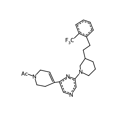 CC(=O)N1CC=C(c2cncc(N3CCCC(CCc4ccccc4C(F)(F)F)C3)n2)CC1